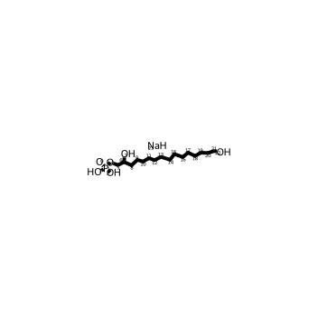 O=P(O)(O)OCC(O)CCCCCCCCCCCCCCO.[NaH]